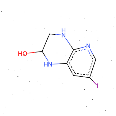 OC1CNc2ncc(I)cc2N1